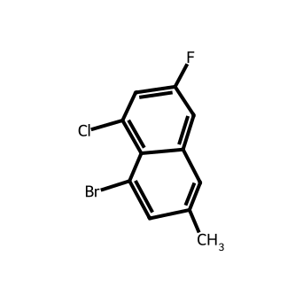 Cc1cc(Br)c2c(Cl)cc(F)cc2c1